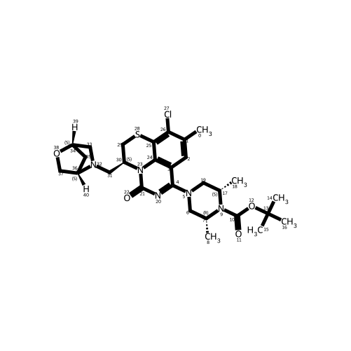 Cc1cc2c(N3C[C@@H](C)N(C(=O)OC(C)(C)C)[C@@H](C)C3)nc(=O)n3c2c(c1Cl)SC[C@@H]3CN1C[C@@H]2C[C@H]1CO2